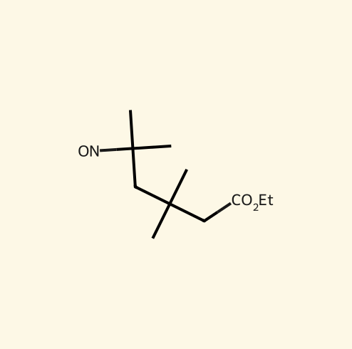 CCOC(=O)CC(C)(C)CC(C)(C)N=O